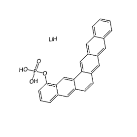 O=P(O)(O)Oc1cccc2cc3ccc4cc5cc6ccccc6cc5cc4c3cc12.[LiH]